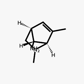 CC1=C[C@@H]2CN(C)[C@H]1[C@@H]2N